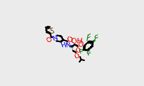 CC(C)COC(=O)C[C@H](NC(=O)C1CCN(C(=O)c2cccs2)CC1)C(O)COc1c(F)c(F)cc(F)c1F